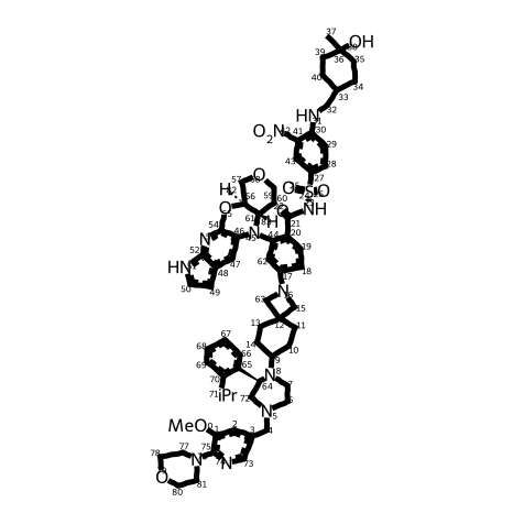 COc1cc(CN2CCN(C3CCC4(CC3)CN(c3ccc(C(=O)NS(=O)(=O)c5ccc(NCC6CCC(C)(O)CC6)c([N+](=O)[O-])c5)c(N5c6cc7cc[nH]c7nc6O[C@H]6COCC[C@@H]65)c3)C4)[C@H](c3ccccc3C(C)C)C2)cnc1N1CCOCC1